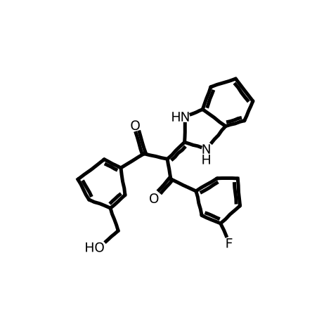 O=C(C(C(=O)c1cccc(CO)c1)=C1Nc2ccccc2N1)c1cccc(F)c1